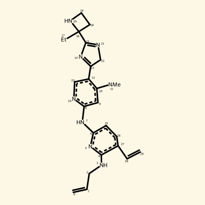 C=CCNc1nc(Nc2cc(NC)c(C3=NC(C4(CC)CCN4)=NC3)cn2)ccc1C=C